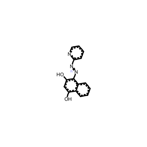 Oc1cc(O)c2ccccc2c1/N=N/c1ccccn1